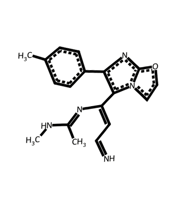 CN/C(C)=N/C(=C\C=N)c1c(-c2ccc(C)cc2)nc2occn12